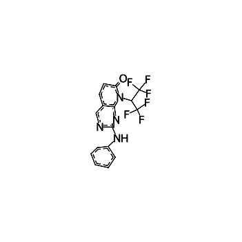 O=c1ccc2cnc(Nc3ccccc3)nc2n1C(C(F)(F)F)C(F)(F)F